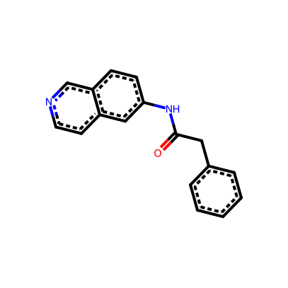 O=C(Cc1ccccc1)Nc1ccc2cnccc2c1